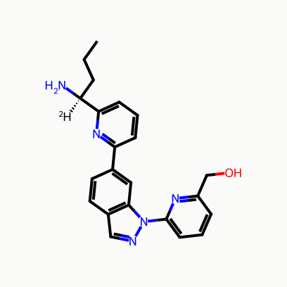 [2H][C@](N)(CCC)c1cccc(-c2ccc3cnn(-c4cccc(CO)n4)c3c2)n1